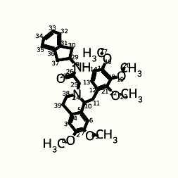 COc1cc2c(cc1OC)C(Cc1ccc(OC)c(OC)c1OC)N(CC(=O)NC1Cc3ccccc3C1)CC2